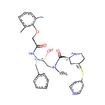 Cc1cccc(C)c1OCC(=O)N[C@@H](Cc1ccccc1)[C@H](O)CN(C(=O)[C@@H]1C[C@H](Sc2ccncc2)CCN1)C(C)(C)C